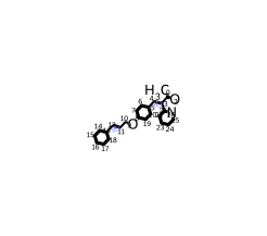 CC(=O)/C(=C/c1ccc(OC/C=C/c2ccccc2)cc1)c1ccccn1